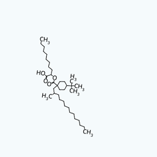 CCCCCCCCCCCCC(C)CC1(C(=O)OC(CCCCCCCCC)C(=O)O)CCC(C(C)(C)C)CC1